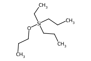 CCCO[Si](CC)(CCC)CCC